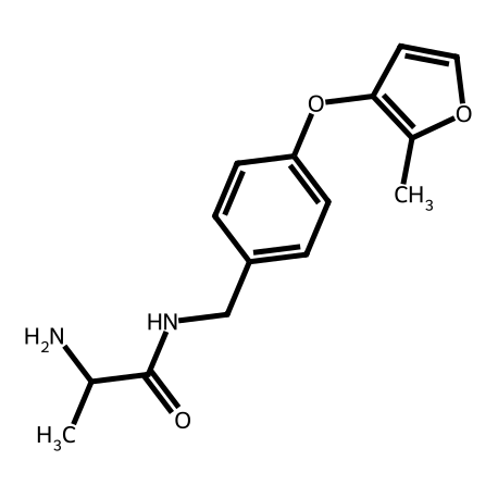 Cc1occc1Oc1ccc(CNC(=O)C(C)N)cc1